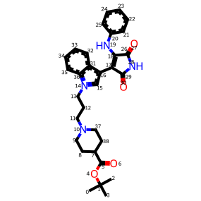 CC(C)(C)OC(=O)C1CCN(CCCn2cc(C3=C(Nc4ccccc4)C(=O)NC3=O)c3ccccc32)CC1